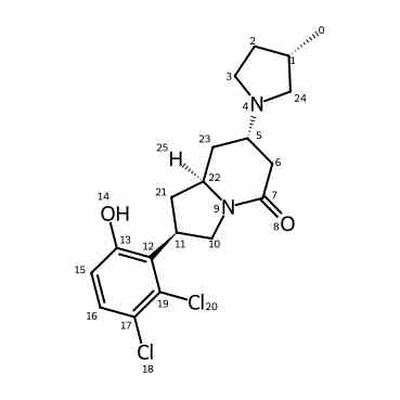 C[C@H]1CCN([C@@H]2CC(=O)N3C[C@@H](c4c(O)ccc(Cl)c4Cl)C[C@H]3C2)C1